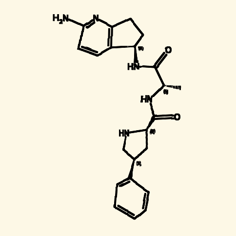 C[C@H](NC(=O)[C@H]1C[C@@H](c2ccccc2)CN1)C(=O)N[C@@H]1CCc2nc(N)ccc21